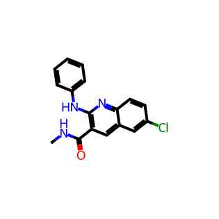 CNC(=O)c1cc2cc(Cl)ccc2nc1Nc1ccccc1